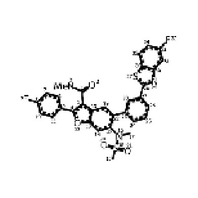 CNC(=O)c1c(-c2ccc(F)cc2)oc2cc(N(C)S(C)(=O)=O)c(-c3cccc(-c4nc5cc(F)ccc5s4)c3)cc12